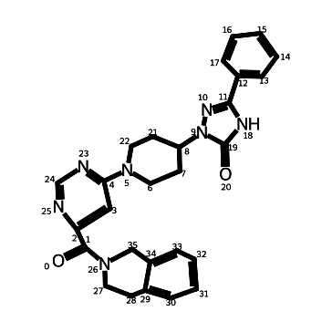 O=C(c1cc(N2CCC(n3nc(-c4ccccc4)[nH]c3=O)CC2)ncn1)N1CCc2ccccc2C1